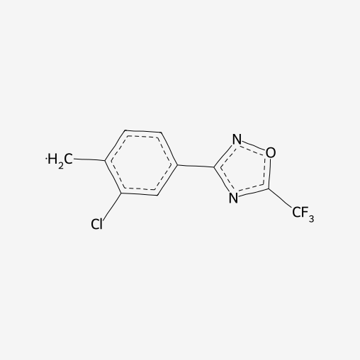 [CH2]c1ccc(-c2noc(C(F)(F)F)n2)cc1Cl